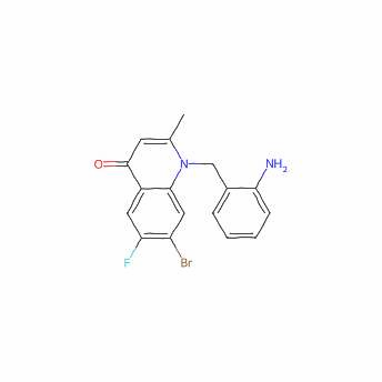 Cc1cc(=O)c2cc(F)c(Br)cc2n1Cc1ccccc1N